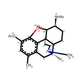 CC(=O)N[C@H]1CCC2[C@H]3Cc4c(C)cc(OC(C)=O)c5c4[C@@]2(CCN3C)[C@H]1O5